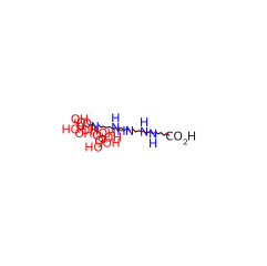 O=C(O)CCCCCNCCNCCCCNCCCCNCCCCCCN(CCO[C@H]1O[C@H](CO)[C@@H](O)[C@H](O)[C@@H]1O)CCO[C@H]1O[C@H](CO)[C@@H](O)[C@H](O)[C@@H]1O